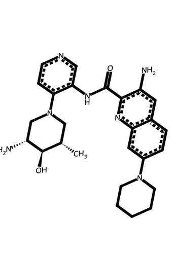 C[C@H]1CN(c2ccncc2NC(=O)c2nc3cc(N4CCCCC4)ccc3cc2N)C[C@@H](N)[C@@H]1O